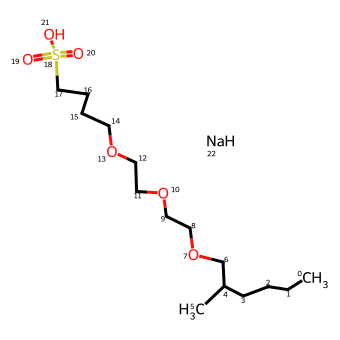 CCCCC(C)COCCOCCOCCCCS(=O)(=O)O.[NaH]